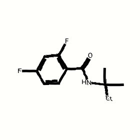 CCC(C)(C)NC(=O)c1ccc(F)cc1F